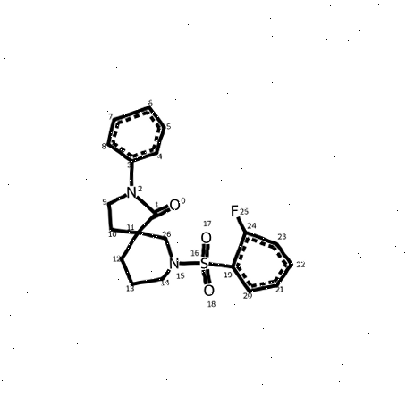 O=C1N(c2ccccc2)CCC12CCCN(S(=O)(=O)c1ccccc1F)C2